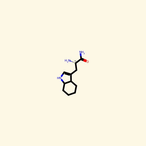 NC(=O)[C@@H](N)CC1=CNC2CCCCC12